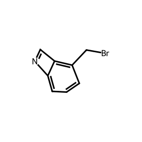 BrCc1cccc2c1C=N2